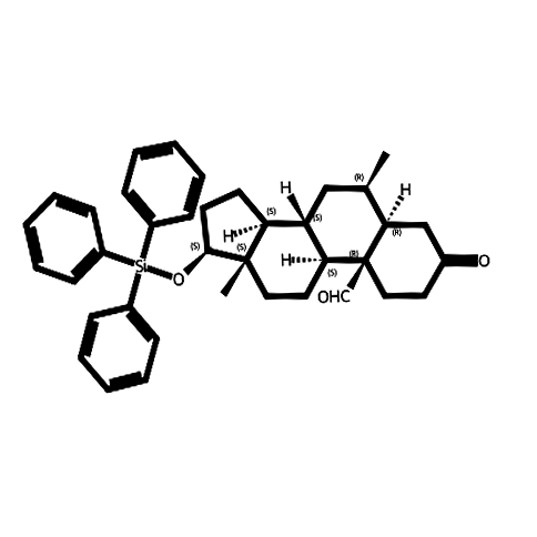 C[C@@H]1C[C@H]2[C@@H]3CC[C@H](O[Si](c4ccccc4)(c4ccccc4)c4ccccc4)[C@@]3(C)CC[C@@H]2[C@@]2(C=O)CCC(=O)C[C@H]12